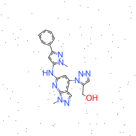 Cn1nc(-c2ccccc2)cc1Nc1cc(-n2nncc2CO)c2cnn(C)c2n1